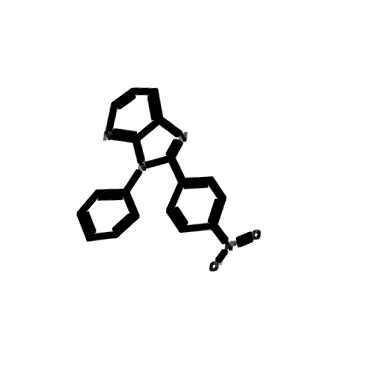 O=[N+]([O-])c1ccc(-c2nc3cccnc3n2-c2ccccc2)cc1